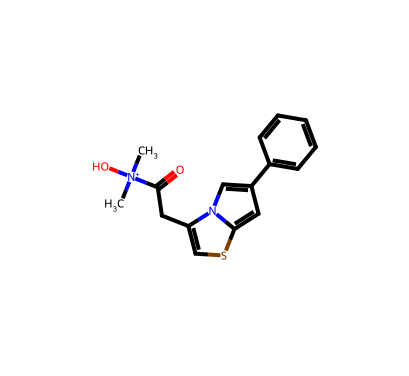 C[N+](C)(O)C(=O)Cc1csc2cc(-c3ccccc3)cn12